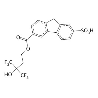 O=C(OCCC(O)(C(F)(F)F)C(F)(F)F)c1ccc2c(c1)-c1ccc(S(=O)(=O)O)cc1C2